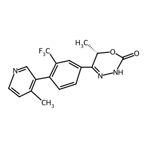 Cc1ccncc1-c1ccc(C2=NNC(=O)O[C@H]2C)cc1C(F)(F)F